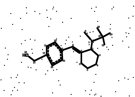 CN(C1CCCCC1=Cc1ccc(CO)cc1)C(C)(C)C